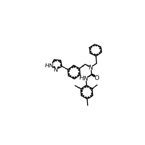 Cc1cc(C)c(NC(=O)N(Cc2ccccc2)Cc2cccc(-c3cc[nH]n3)c2)c(C)c1